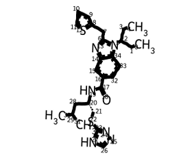 CCC(CC)n1c(Cc2cccs2)nc2cc(C(=O)N[C@H](CSc3nnc[nH]3)CC(C)C)ccc21